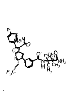 CNC(=O)c1c(-c2ccc(F)cc2)oc2nc(CCC(F)(F)F)c(-c3cccc(C(=O)NC(C)(C)C(C)(C)C(N)=O)c3)cc12